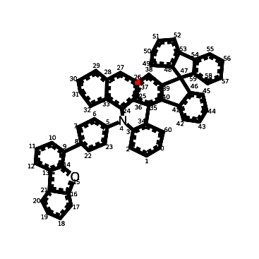 c1ccc(N(c2ccc(-c3cccc4c3oc3ccccc34)cc2)c2cccc3ccccc23)c(-c2cccc3c2-c2ccccc2C32c3ccccc3-c3ccccc32)c1